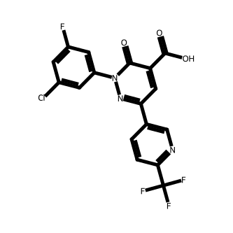 O=C(O)c1cc(-c2ccc(C(F)(F)F)nc2)nn(-c2cc(F)cc(Cl)c2)c1=O